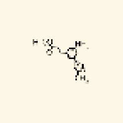 COC(=O)CCc1cc(N)cc(-n2cnc(C)c2)c1